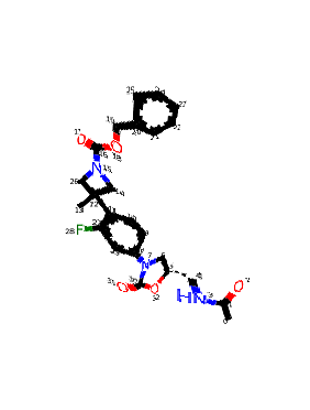 CC(=O)NC[C@H]1CN(c2ccc(C3(C)CN(C(=O)OCc4ccccc4)C3)c(F)c2)C(=O)O1